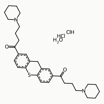 Cl.Cl.O.O=C(CCCN1CCCCC1)c1ccc2c(c1)Cc1cc(C(=O)CCCN3CCCCC3)ccc1S2